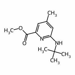 COC(=O)c1cc(C)cc(NC(C)(C)C)n1